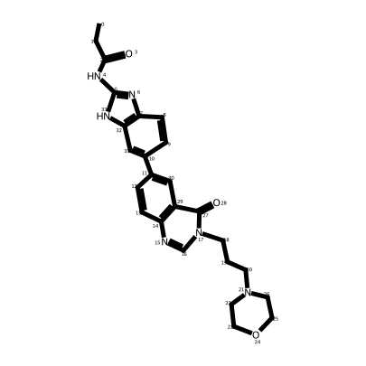 CCC(=O)Nc1nc2ccc(-c3ccc4ncn(CCCN5CCOCC5)c(=O)c4c3)cc2[nH]1